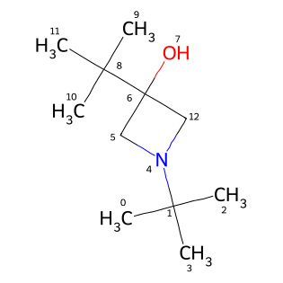 CC(C)(C)N1CC(O)(C(C)(C)C)C1